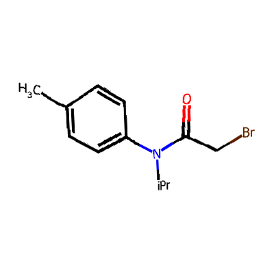 Cc1ccc(N(C(=O)CBr)C(C)C)cc1